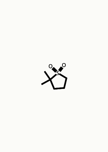 CC1(C)CCCS1(=O)=O